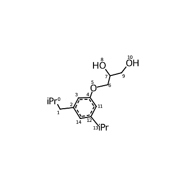 CC(C)Cc1cc(OCC(O)CO)cc(C(C)C)c1